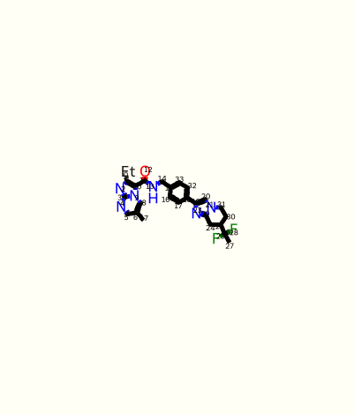 CCc1nc2ncc(C)cn2c1C(=O)NCc1ccc(-c2cn3c(n2)CC(C(C)(F)F)CC3)cc1